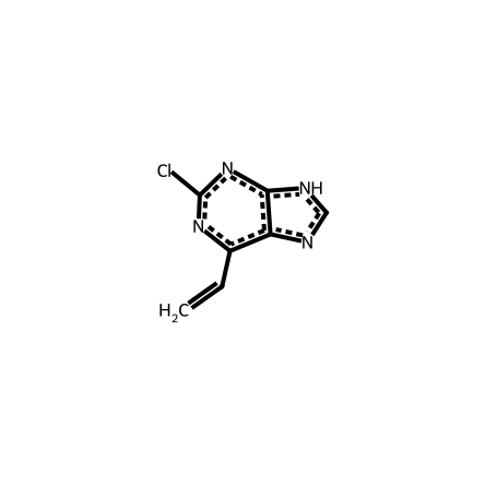 C=Cc1nc(Cl)nc2[nH]cnc12